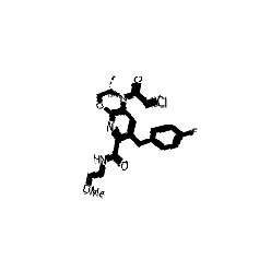 COCCNC(=O)c1nc2c(cc1Cc1ccc(F)cc1)N(C(=O)CCl)[C@@H](C)CO2